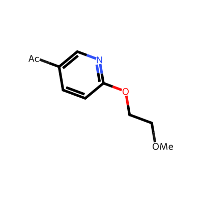 COCCOc1ccc(C(C)=O)cn1